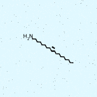 C=C.CCCCCCCCC=CCCCCCCCCN